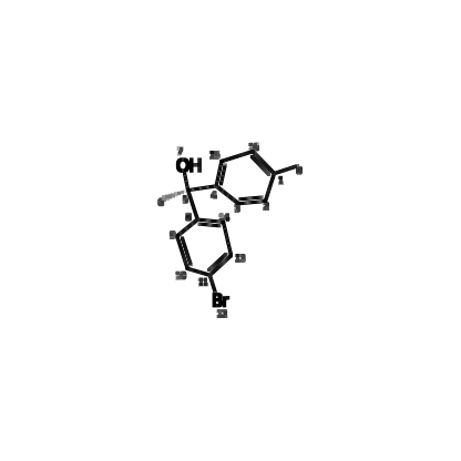 Cc1ccc([C@](C)(O)c2ccc(Br)cc2)cc1